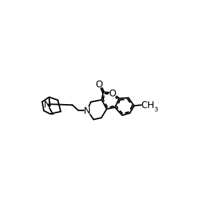 Cc1ccc2c3c(c(=O)oc2c1)CN(CCN1CC2CCC(CC2)C1)CC3